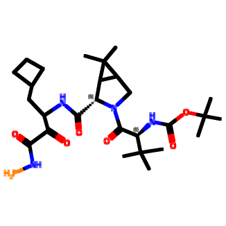 CC(C)(C)OC(=O)N[C@H](C(=O)N1CC2C([C@H]1C(=O)NC(CC1CCC1)C(=O)C(=O)NP)C2(C)C)C(C)(C)C